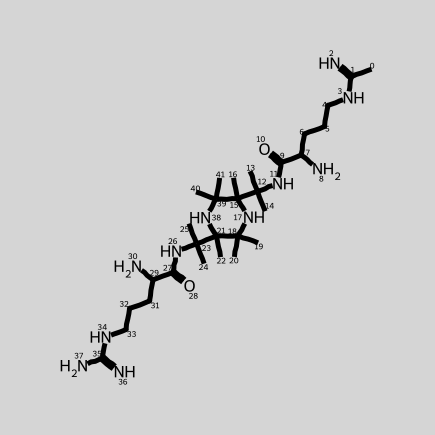 CC(=N)NCCCC(N)C(=O)NC(C)(C)C1(C)NC(C)(C)C(C)(C(C)(C)NC(=O)C(N)CCCNC(=N)N)NC1(C)C